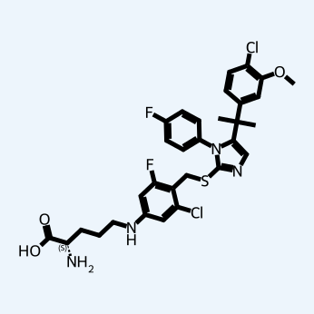 COc1cc(C(C)(C)c2cnc(SCc3c(F)cc(NCCC[C@H](N)C(=O)O)cc3Cl)n2-c2ccc(F)cc2)ccc1Cl